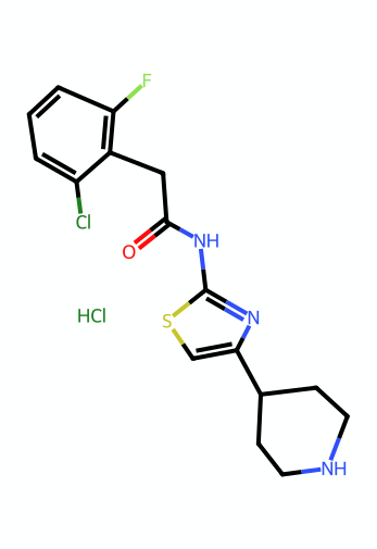 Cl.O=C(Cc1c(F)cccc1Cl)Nc1nc(C2CCNCC2)cs1